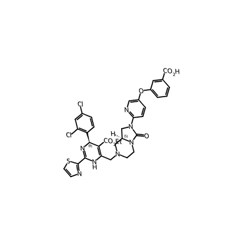 CCOC(=O)C1=C(CN2CCN3C(=O)N(c4ccc(Oc5cccc(C(=O)O)c5)cn4)C[C@@H]3C2)NC(c2nccs2)=N[C@H]1c1ccc(Cl)cc1Cl